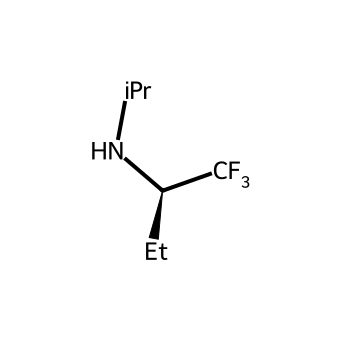 CC[C@@H](NC(C)C)C(F)(F)F